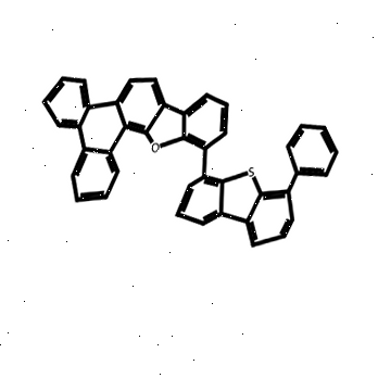 c1ccc(-c2cccc3c2sc2c(-c4cccc5c4oc4c5ccc5c6ccccc6c6ccccc6c54)cccc23)cc1